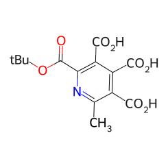 Cc1nc(C(=O)OC(C)(C)C)c(C(=O)O)c(C(=O)O)c1C(=O)O